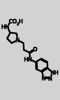 O=C(O)NC1CCN(CCC(=O)Nc2ccc3[nH]nnc3c2)C1